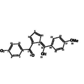 COc1ccc(C(=O)C2=CC=CC2=C(O)c2ccc(OC)cc2)cc1